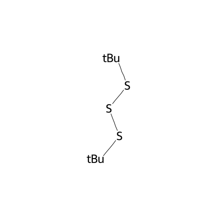 CC(C)(C)SSSC(C)(C)C